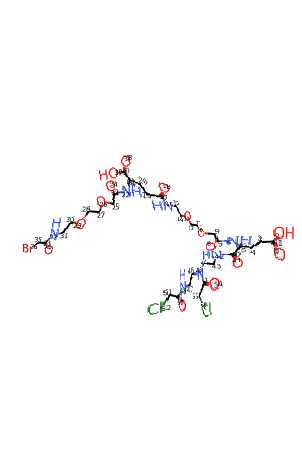 O=C(O)CC[C@H](NC(=O)COCCOCCNC(=O)CC[C@@H](NC(=O)COCCOCCNC(=O)CBr)C(=O)O)C(=O)NCCN(CCNC(=O)CCl)C(=O)CCl